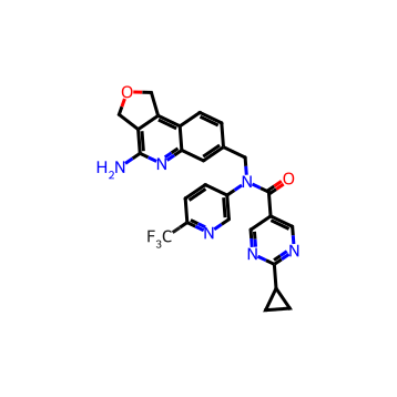 Nc1nc2cc(CN(C(=O)c3cnc(C4CC4)nc3)c3ccc(C(F)(F)F)nc3)ccc2c2c1COC2